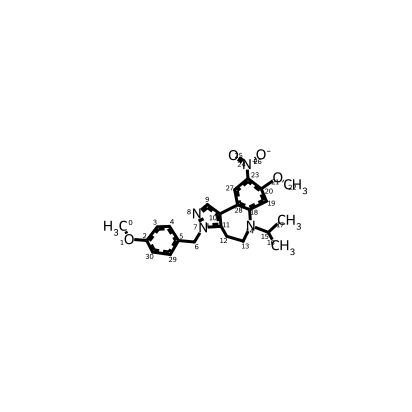 COc1ccc(Cn2ncc3c2CCN(C(C)C)c2cc(OC)c([N+](=O)[O-])cc2-3)cc1